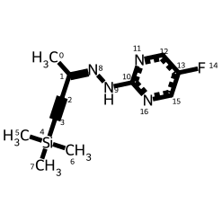 CC(C#C[Si](C)(C)C)=NNc1ncc(F)cn1